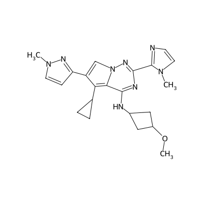 COC1CC(Nc2nc(-c3nccn3C)nn3cc(-c4ccn(C)n4)c(C4CC4)c23)C1